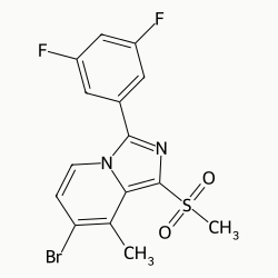 Cc1c(Br)ccn2c(-c3cc(F)cc(F)c3)nc(S(C)(=O)=O)c12